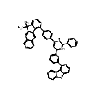 CC1(C)c2cc3ccccc3cc2-c2c(-c3ccc(C4=CC(c5cccc(-c6cccc7sc8ccccc8c67)c5)NC(c5ccccc5)N4)cc3)cccc21